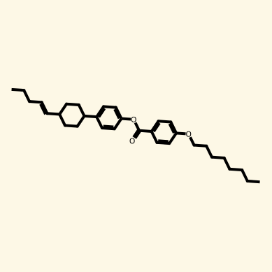 CCC/C=C/C1CCC(c2ccc(OC(=O)c3ccc(OCCCCCCCC)cc3)cc2)CC1